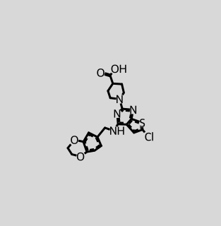 O=C(O)C1CCN(c2nc(NCc3ccc4c(c3)OCCO4)c3cc(Cl)sc3n2)CC1